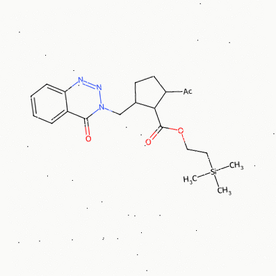 CC(=O)C1CCC(Cn2nnc3ccccc3c2=O)C1C(=O)OCC[Si](C)(C)C